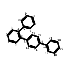 [c]1cccc(-c2ccccc2)c1-c1ccc(-c2ccccc2)cc1